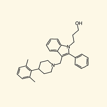 Cc1cccc(C)c1C1CCN(Cc2c(-c3ccccc3)n(CCCO)c3ccccc23)CC1